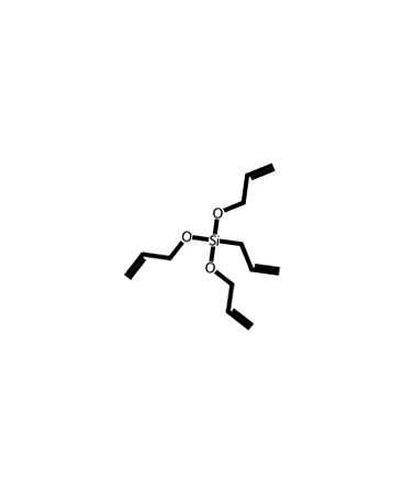 C=CCO[Si](CC=C)(OCC=C)OCC=C